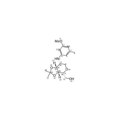 COc1nc(C)cc(N[C@@H]2CO[C@H](CO)[C@@H]3OC(C)(C)O[C@@H]32)n1